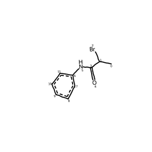 CC(Br)C(=O)Nc1[c]cccc1